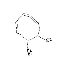 CC[C]1C=CC=CC1CC